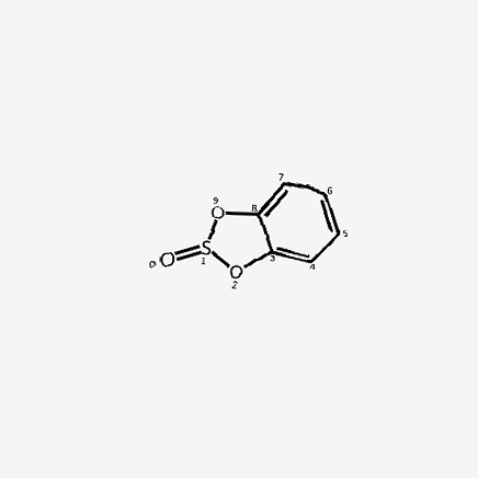 O=S1Oc2ccccc2O1